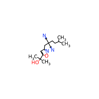 CC(C)CCC(C#N)(C#N)Cc1cc(C(C)(C)O)on1